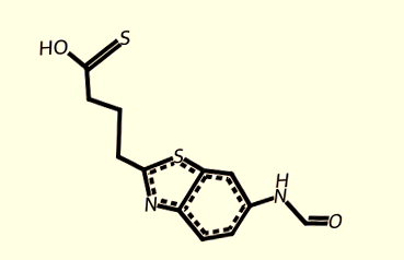 O=CNc1ccc2nc(CCCC(O)=S)sc2c1